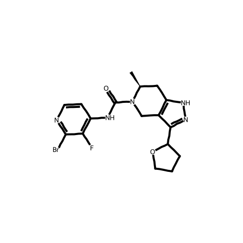 C[C@H]1Cc2[nH]nc(C3CCCO3)c2CN1C(=O)Nc1ccnc(Br)c1F